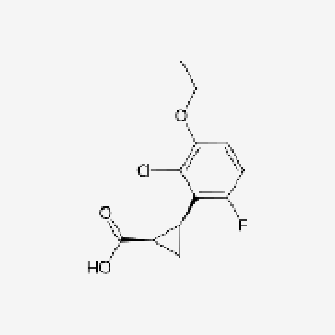 CCOc1ccc(F)c([C@H]2C[C@H]2C(=O)O)c1Cl